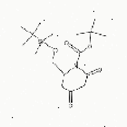 CC(C)(C)OC(=O)N1C(=O)CC(=O)CC1CO[Si](C)(C)C(C)(C)C